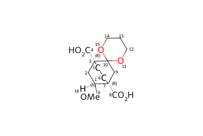 CO[C@H]1C[C@]2(C(=O)O)CC[C@@]1(C(=O)O)CC21OCCCO1